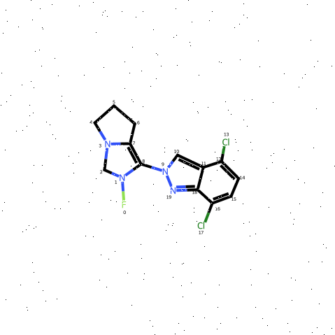 FN1CN2CCCC2=C1n1cc2c(Cl)ccc(Cl)c2n1